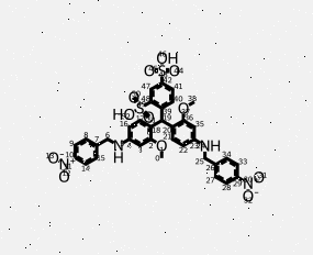 COc1cc(NCc2ccc([N+](=O)[O-])cc2)ccc1C(c1ccc(NCc2ccc([N+](=O)[O-])cc2)cc1OC)c1ccc(S(=O)(=O)O)cc1S(=O)(=O)O